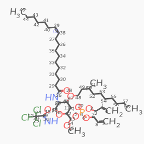 C=CCOP(=O)(OCC=C)O[C@@H]1C(COC)O[C@H](OC(=N)C(Cl)(Cl)Cl)[C@H](NC(=O)CCCCCCCCC/C=C\CCCCCC)[C@H]1OCC[C@H](C)CCCCCCC